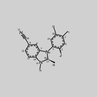 Cc1cc(C)c(N2c3cc(C#N)ccc3N(C)[C@@H]2C)cc1C